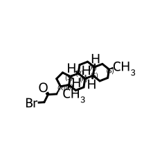 C[C@H]1CC[C@H]2[C@H](CC[C@@H]3[C@@H]2CC[C@]2(C)[C@@H](CC(=O)CBr)CC[C@@H]32)C1